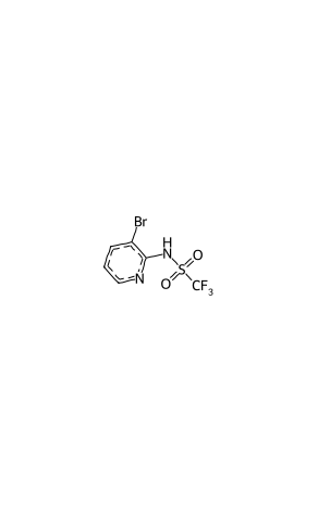 O=S(=O)(Nc1ncccc1Br)C(F)(F)F